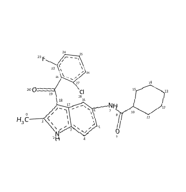 Cc1[nH]c2ccc(NC(=O)C3CCCCC3)cc2c1C(=O)c1c(F)cccc1Cl